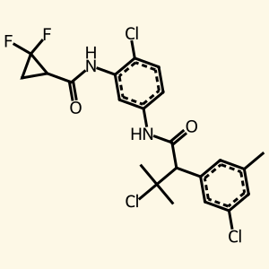 Cc1cc(Cl)cc(C(C(=O)Nc2ccc(Cl)c(NC(=O)C3CC3(F)F)c2)C(C)(C)Cl)c1